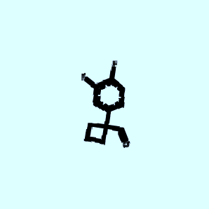 O=CC1(c2ccc(F)c(F)c2)CCC1